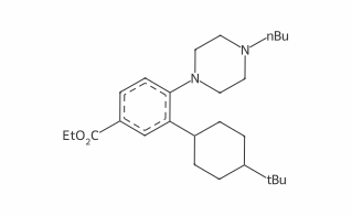 CCCCN1CCN(c2ccc(C(=O)OCC)cc2C2CCC(C(C)(C)C)CC2)CC1